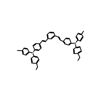 CCc1ccc(N(c2ccc(C)cc2)c2ccc(C=Cc3cccc(C=Cc4ccc(N(c5ccc(C)cc5)c5ccc(CC)cc5)cc4)c3)cc2)cc1